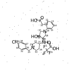 O=C(O)C(F)(F)F.O=C(O)Cc1ccccc1N1C[C@H](NC2CCN(Cc3ccc(Cl)cc3)CC2)[C@@H](O)C1